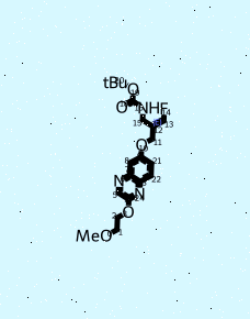 COCCOc1cnc2cc(OC/C(=C/F)CNC(=O)OC(C)(C)C)ccc2n1